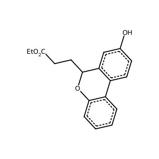 CCOC(=O)CCC1Oc2ccccc2-c2ccc(O)cc21